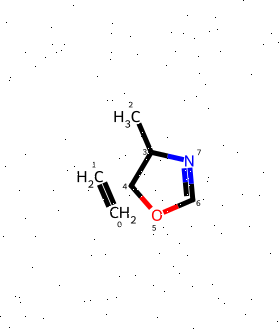 C=C.CC1COC=N1